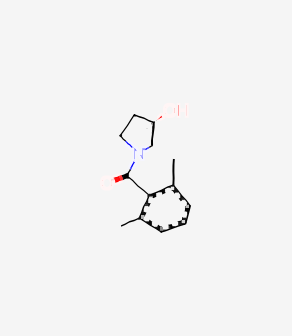 Cc1cccc(C)c1C(=O)N1CC[C@@H](O)C1